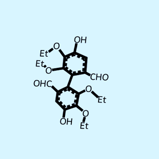 CCOc1c(O)cc(C=O)c(-c2c(C=O)cc(O)c(OCC)c2OCC)c1OCC